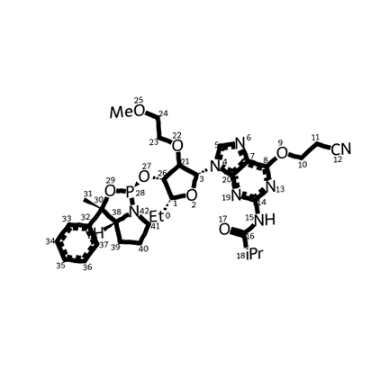 CC[C@H]1O[C@@H](n2cnc3c(OCCC#N)nc(NC(=O)C(C)C)nc32)C(OCCOC)[C@H]1O[P@]1O[C@@](C)(c2ccccc2)[C@H]2CCCN21